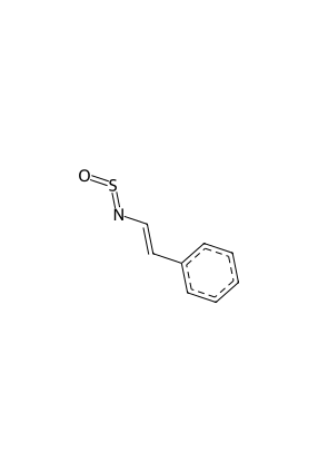 O=S=NC=Cc1ccccc1